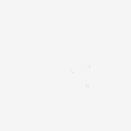 c1ccc2c(c1)oc1nc(-n3c4ccccc4c4c5c6ccccc6sc5c5ccccc5c43)nc(-c3ccc4sc5ccccc5c4c3)c12